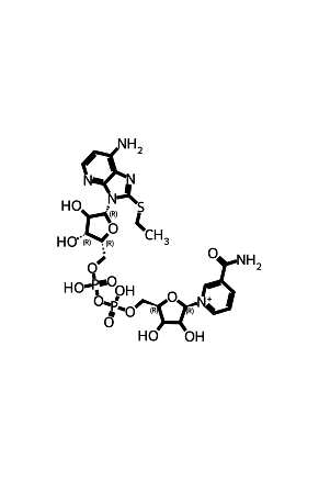 CCSc1nc2c(N)ccnc2n1[C@@H]1O[C@H](COP(=O)(O)OP(=O)(O)OC[C@H]2O[C@@H]([n+]3cccc(C(N)=O)c3)C(O)C2O)[C@H](O)C1O